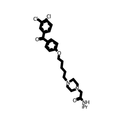 CC(C)NC(=O)CN1CCN(CCCCCOc2ccc(C(=O)c3ccc(Cl)c(Cl)c3)cc2)CC1